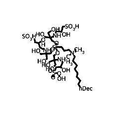 CCCCCCCCCCCCCCCCCC[N+](C)(C)CCC[Si](OCC(CO)(CO)NCC(O)CS(=O)(=O)O)(OCC(CO)(CO)NCC(O)CS(=O)(=O)O)OCC(CO)(CO)NCC(O)CS(=O)(=O)OO